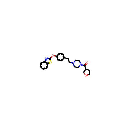 O=C(C1CCOC1)N1CCN(CCc2ccc(Oc3nc4ccccc4s3)cc2)CC1